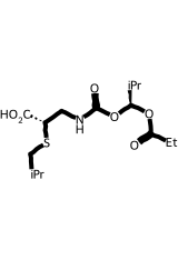 CCC(=O)O[C@@H](OC(=O)NC[C@H](SCC(C)C)C(=O)O)C(C)C